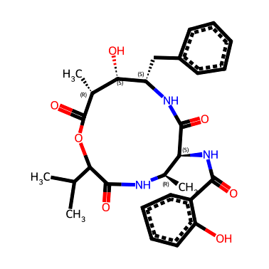 CC(C)C1OC(=O)[C@H](C)[C@H](O)[C@H](Cc2ccccc2)NC(=O)[C@@H](NC(=O)c2ccccc2O)[C@@H](C)NC1=O